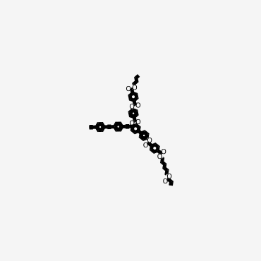 C#Cc1ccc(C#Cc2ccc(C#CC3(OC(=O)c4ccc(OC(=O)C5CCC(C(=O)OCCCC)CC5)cc4)CCC(c4ccc(OC(=O)C5CCC(C(=O)OCCCCCCOC(=O)C=C)CC5)cc4)CC3)cc2)cc1